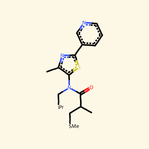 CSCC(C)C(=O)N(CC(C)C)c1sc(-c2cccnc2)nc1C